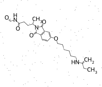 C=C(CC)NCCCCCCOc1ccc2c(c1)C(=O)N(C(C)CCC(=O)NC=O)C2=O